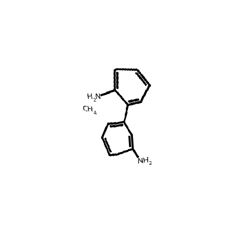 C.Nc1cccc(-c2ccccc2N)c1